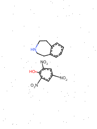 O=[N+]([O-])c1cc([N+](=O)[O-])c(O)c([N+](=O)[O-])c1.c1ccc2c(c1)CCNCC2